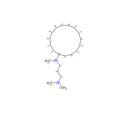 CN(C)CCCN(C)C1CCCCCCCCCCCCCC1